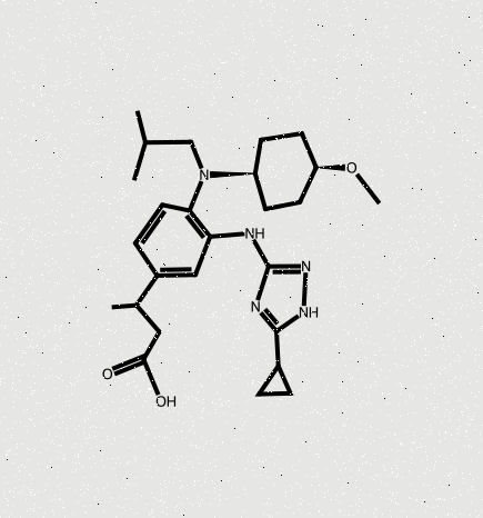 CO[C@H]1CC[C@@H](N(CC(C)C)c2ccc(C(C)CC(=O)O)cc2Nc2n[nH]c(C3CC3)n2)CC1